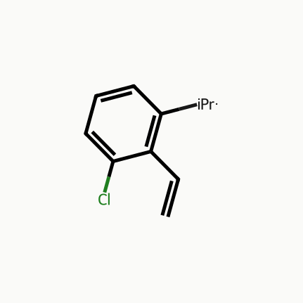 C=Cc1c(Cl)cccc1[C](C)C